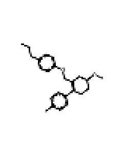 CCCc1ccc(OCC2=C(c3ccc(C)cc3)CCC(OC)C2)cc1